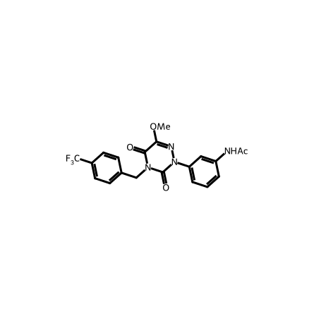 COc1nn(-c2cccc(NC(C)=O)c2)c(=O)n(Cc2ccc(C(F)(F)F)cc2)c1=O